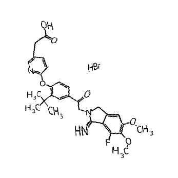 Br.COc1cc2c(c(F)c1OC)C(=N)N(CC(=O)c1ccc(Oc3ccc(CC(=O)O)cn3)c(C(C)(C)C)c1)C2